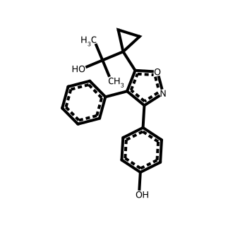 CC(C)(O)C1(c2onc(-c3ccc(O)cc3)c2-c2ccccc2)CC1